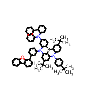 CC(C)(C)c1ccc(N2c3ccc(C(C)(C)C)cc3B3c4ccc(N(c5ccccc5)c5ccccc5-c5ccccc5)cc4N(c4cccc(-c5cccc6c5oc5ccccc56)c4)c4cc(C(C)(C)C)cc2c43)cc1